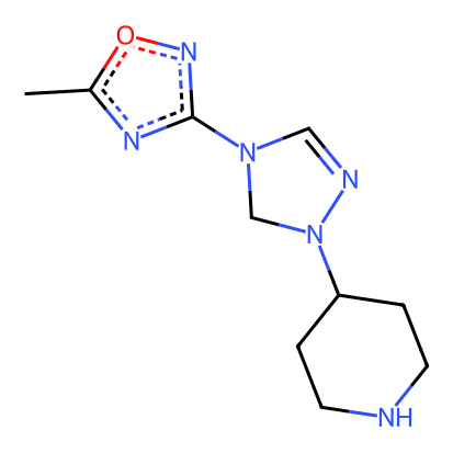 Cc1nc(N2C=NN(C3CCNCC3)C2)no1